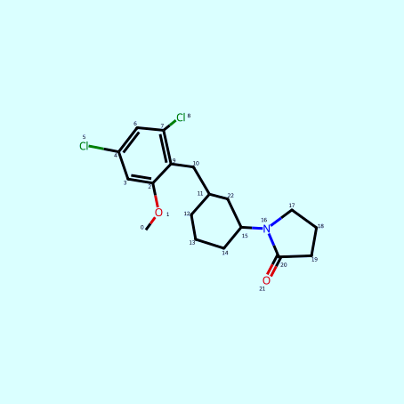 COc1cc(Cl)cc(Cl)c1CC1CCCC(N2CCCC2=O)C1